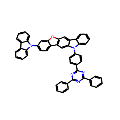 c1ccc(-c2nc(-c3ccccc3)nc(-c3ccc(-n4c5ccccc5c5cc6oc7cc(-n8c9ccccc9c9ccccc98)ccc7c6cc54)cc3)n2)cc1